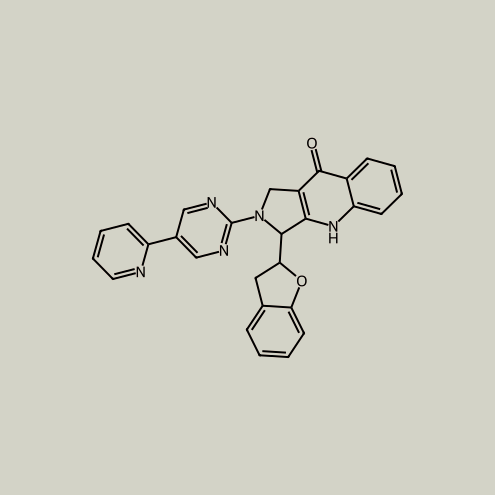 O=c1c2c([nH]c3ccccc13)C(C1Cc3ccccc3O1)N(c1ncc(-c3ccccn3)cn1)C2